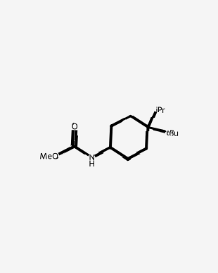 COC(=O)NC1CCC(C(C)C)(C(C)(C)C)CC1